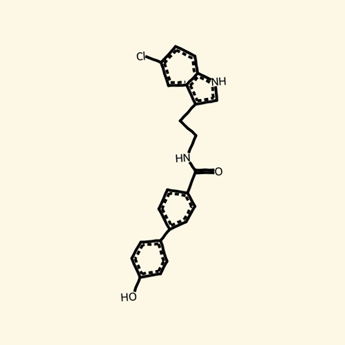 O=C(NCCc1c[nH]c2ccc(Cl)cc12)c1ccc(-c2ccc(O)cc2)cc1